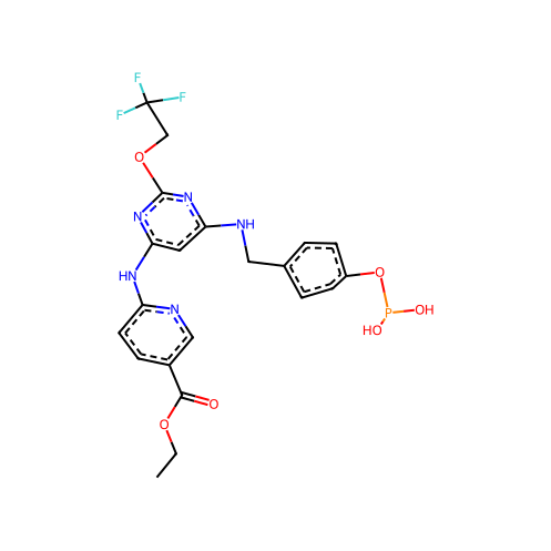 CCOC(=O)c1ccc(Nc2cc(NCc3ccc(OP(O)O)cc3)nc(OCC(F)(F)F)n2)nc1